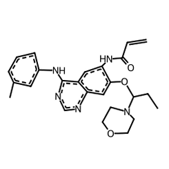 C=CC(=O)Nc1cc2c(Nc3cccc(C)c3)ncnc2cc1OC(CC)N1CCOCC1